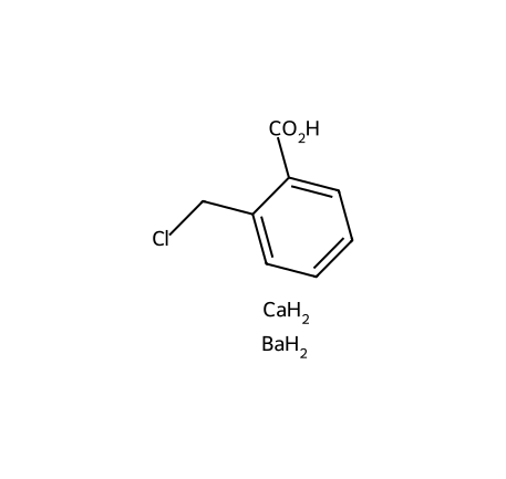 O=C(O)c1ccccc1CCl.[BaH2].[CaH2]